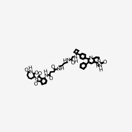 O=C(CCC(=O)Nc1cccc2c1C(=O)N([C@H]1CCCC(=O)NC1=O)C2=O)NCCCCNC(=O)CNC1(c2ccc(-c3nc4ccn5c(=O)[nH]nc5c4cc3-c3ccccc3)cc2)CCC1